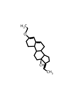 C/C=C1\CCC2C3CC=C4C=C(OCC)CCC4C3CC[C@@]12C